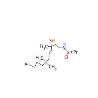 CCCC(=O)NCCC(C)(S)CCCC(C)(C)CCCC(C)=O